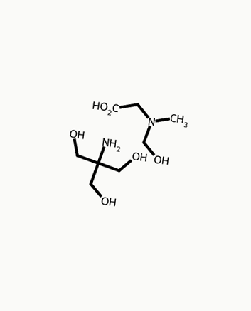 CN(CO)CC(=O)O.NC(CO)(CO)CO